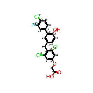 O=C(O)COc1cc(Cl)c(Cc2ccc(O)c(-c3ccc(Cl)c(F)c3)c2)c(Cl)c1